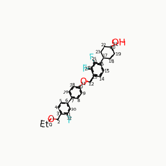 CCOCc1ccc(-c2ccc(OCc3ccc(C4CCC(O)CC4)c(F)c3F)cc2)cc1F